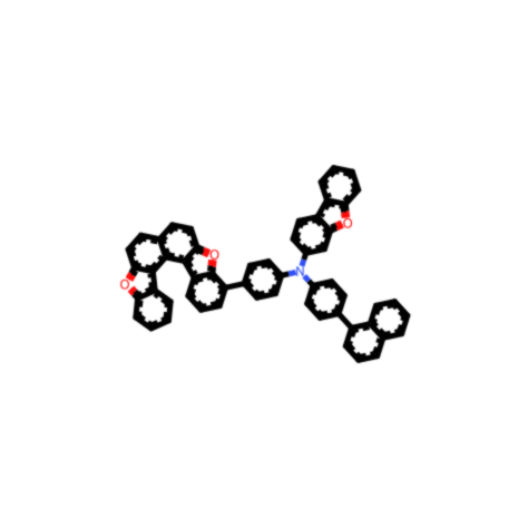 c1ccc2c(-c3ccc(N(c4ccc(-c5cccc6c5oc5ccc7ccc8oc9ccccc9c8c7c56)cc4)c4ccc5c(c4)oc4ccccc45)cc3)cccc2c1